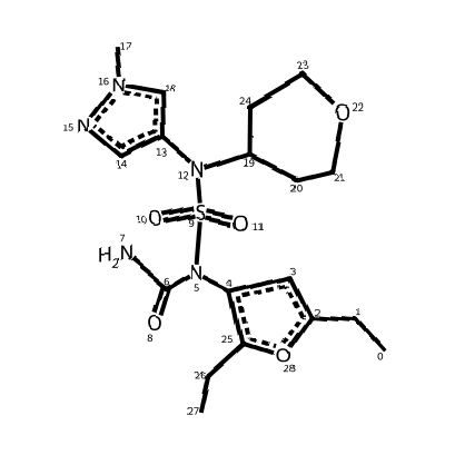 CCc1cc(N(C(N)=O)S(=O)(=O)N(c2cnn(C)c2)C2CCOCC2)c(CC)o1